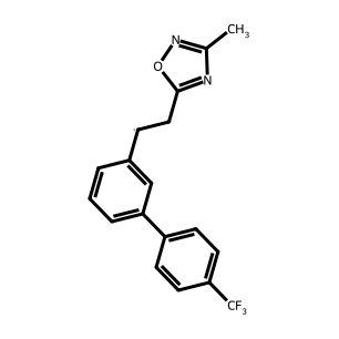 Cc1noc(C[CH]c2cccc(-c3ccc(C(F)(F)F)cc3)c2)n1